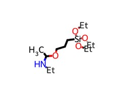 CCNC(C)OCCC[Si](OCC)(OCC)OCC